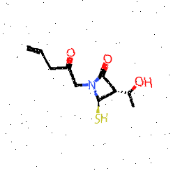 C=CCC(=O)CN1C(=O)[C@H](C(C)O)[C@H]1S